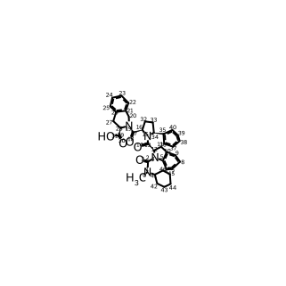 CN(C(=O)N1c2ccccc2C[C@@H]1C(=O)N1[C@@H](C(=O)N2Cc3ccccc3C[C@@H]2C(=O)O)CC[C@H]1c1ccccc1)C1CCCCC1